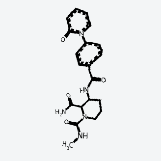 CNC(=O)N1CC[CH]C(NC(=O)c2ccc(-n3ccccc3=O)cc2)C1C(N)=O